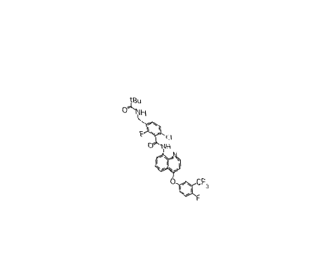 CC(C)(C)C(=O)NCc1ccc(Cl)c(C(=O)Nc2cccc3c(Oc4ccc(F)c(C(F)(F)F)c4)ccnc23)c1F